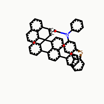 c1ccc(-c2ccc3c4c(cccc24)C2(c4cc(N(c5ccccc5)c5ccc6c(c5)sc5ccccc56)ccc4-c4cccc5cccc2c45)c2ccccc2-3)cc1